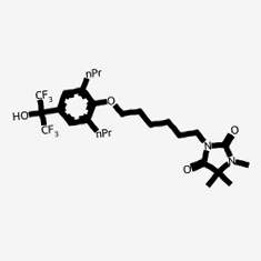 CCCc1cc(C(O)(C(F)(F)F)C(F)(F)F)cc(CCC)c1OCCCCCCN1C(=O)N(C)C(C)(C)C1=O